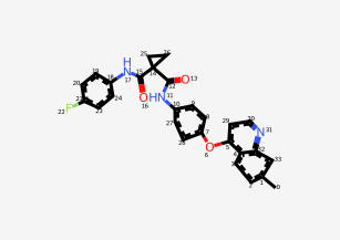 Cc1ccc2c(Oc3ccc(NC(=O)C4(C(=O)Nc5ccc(F)cc5)CC4)cc3)ccnc2c1